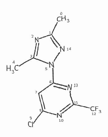 Cc1nc(C)n(-c2cc(Cl)nc(C(F)(F)F)n2)n1